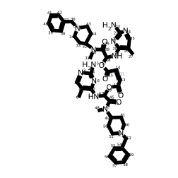 Cc1cnc(N)nc1NC(OC(=O)/C=C\C(=O)OC(Nc1nc(N)ncc1C)C(=O)N(C)C1CCN(Cc2ccccc2)CC1)C(=O)N(C)C1CCN(Cc2ccccc2)CC1